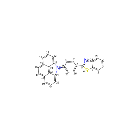 c1ccc2sc(-c3ccc(-n4c5cccc6ccc7cccc4c7c65)cc3)nc2c1